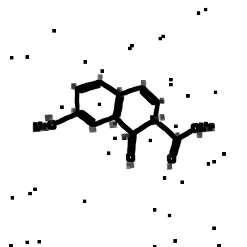 COC(=O)n1ccc2ccc(OC)cc2c1=O